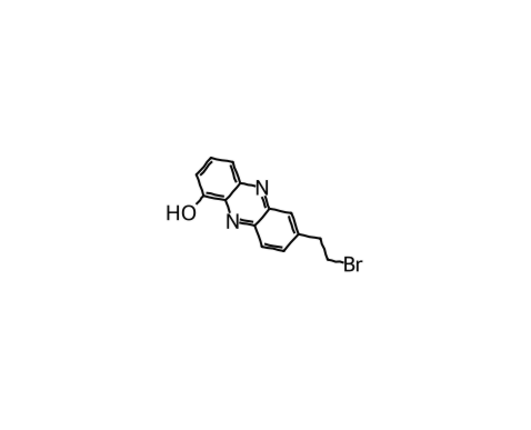 Oc1cccc2nc3cc(CCBr)ccc3nc12